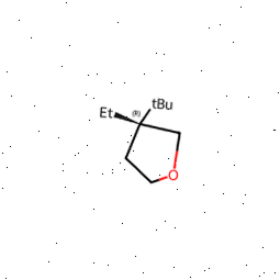 CC[C@]1(C(C)(C)C)CCOC1